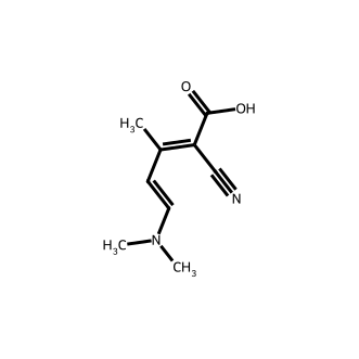 CC(C=CN(C)C)=C(C#N)C(=O)O